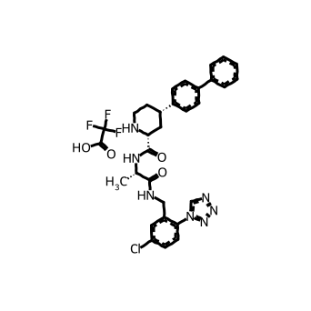 C[C@H](NC(=O)[C@H]1C[C@@H](c2ccc(-c3ccccc3)cc2)CCN1)C(=O)NCc1cc(Cl)ccc1-n1cnnn1.O=C(O)C(F)(F)F